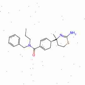 CC1([C@@H]2C=CC(C(=O)N(CCI)Cc3ccccc3)=CC2)CCSC(N)=N1